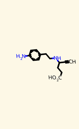 C#CC(CCC(=O)O)NCCc1ccc(N)cc1